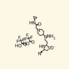 N#CC1C[S+]([O-])C(CCN(N)C2CCN(CC(=O)NC3CC3)CC2)N1.O=C(O)C(F)(F)F.O=C(O)C(F)(F)F